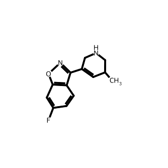 CC1C=C(c2noc3cc(F)ccc23)CNC1